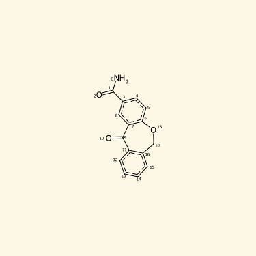 NC(=O)c1ccc2c(c1)C(=O)c1ccccc1CO2